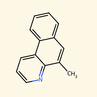 Cc1cc2ccccc2c2cccnc12